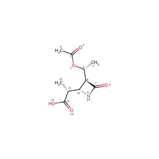 CC(=O)O[C@H](C)[C@H]1C(=O)N[C@@H]1[C@@H](C)C(=O)O